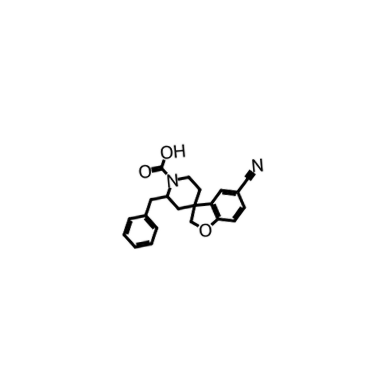 N#Cc1ccc2c(c1)C1(CCN(C(=O)O)C(Cc3ccccc3)C1)CO2